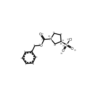 O=C(OCc1ccccc1)N1CC[C@@H](S(=O)(=O)Cl)C1